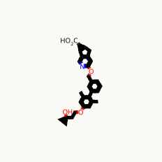 Cc1cc(OCCC2(O)CC2)cc(C)c1-c1cccc(COc2cc3c(cn2)C2C(C3)C2C(=O)O)c1